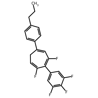 CCCc1ccc(C2=CC(F)=C(c3cc(F)c(F)c(F)c3)C(F)=CC2)cc1